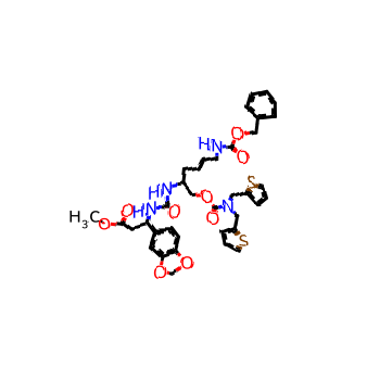 COC(=O)CC(NC(=O)NC(CCCCNC(=O)OCc1ccccc1)COC(=O)N(Cc1cccs1)Cc1cccs1)c1ccc2c(c1)OCO2